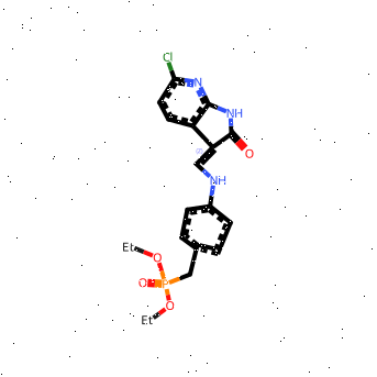 CCOP(=O)(Cc1ccc(N/C=C2\C(=O)Nc3nc(Cl)ccc32)cc1)OCC